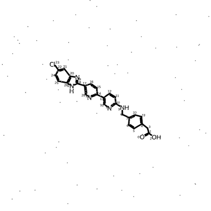 O=C(O)Cc1ccc(CNc2ccc(-c3ccc(-c4nc5cc(Cl)ccc5[nH]4)cn3)cn2)cc1